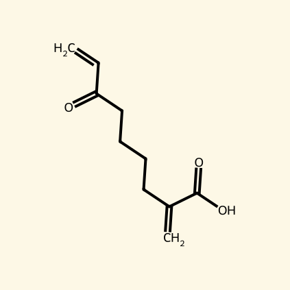 C=CC(=O)CCCCC(=C)C(=O)O